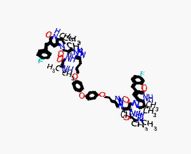 CN[C@@H](C)C(=O)N[C@H](C(=O)N1CC(C)(C)c2[nH]c(=O)c(Cc3ccc(F)cc3)cc21)[C@H](C)n1cc(CCCOc2ccc(Oc3ccc(OCCCc4cn([C@@H](C)[C@H](NC(=O)[C@H](C)NC)C(=O)N5CC(C)(C)c6[nH]c(=O)c(Cc7ccc(F)cc7)cc65)nn4)cc3)cc2)nn1